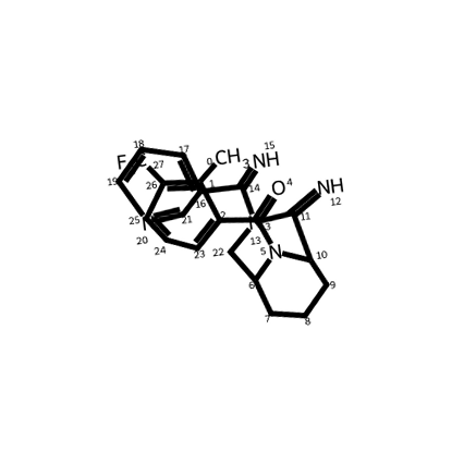 Cc1c(C(=O)N2C3CCCC2C(=N)N(C(=N)c2cccnc2)C3)cccc1C(F)(F)F